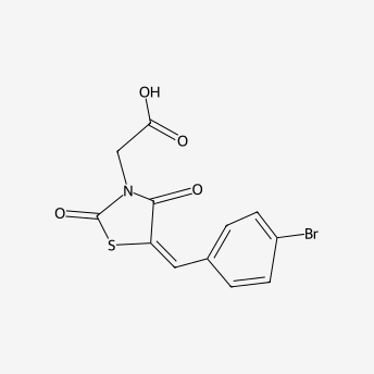 O=C(O)CN1C(=O)SC(=Cc2ccc(Br)cc2)C1=O